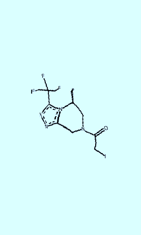 CC1CN(C(=O)CI)Cc2nnc(C(F)(F)F)n21